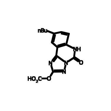 CCCCc1ccc2[nH]c(=O)n3nc(OC(=O)O)nc3c2c1